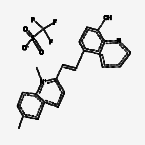 Cc1ccc2c(ccc(C=Cc3ccc(O)c4ncccc34)[n+]2C)c1.O=S(=O)([O-])C(F)(F)F